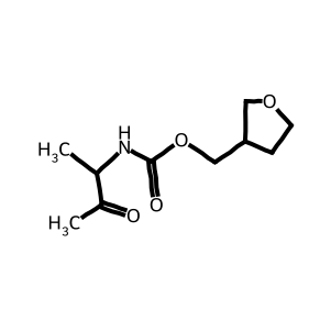 CC(=O)C(C)NC(=O)OCC1CCOC1